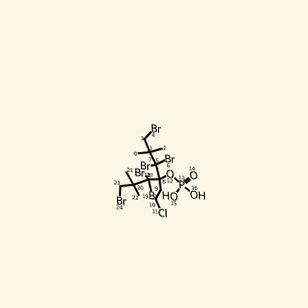 CC(C)(CBr)C(Br)(Br)C(CCCl)(OP(=O)(O)O)C(Br)(Br)C(C)(C)CBr